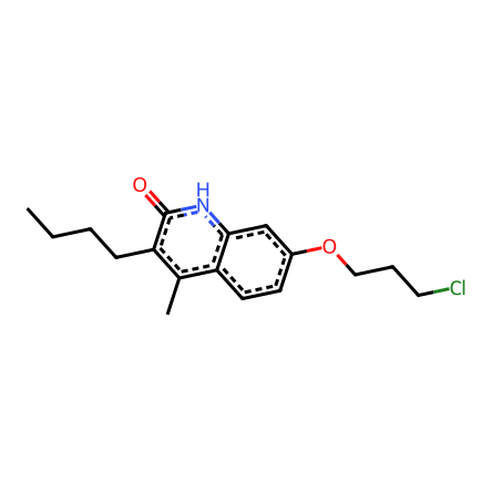 CCCCc1c(C)c2ccc(OCCCCl)cc2[nH]c1=O